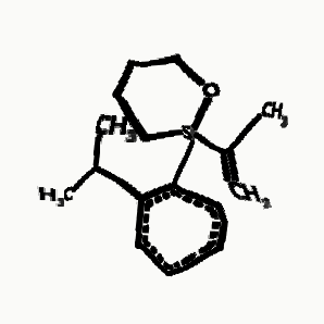 C=C(C)[Si]1(c2ccccc2C(C)C)CCCCO1